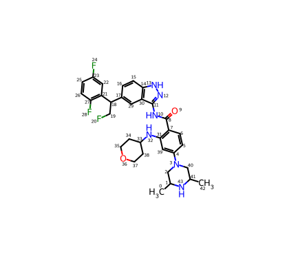 CC1CN(c2ccc(C(=O)Nc3n[nH]c4ccc(C(CF)c5cc(F)ccc5F)cc34)c(NC3CCOCC3)c2)CC(C)N1